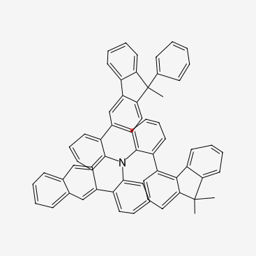 CC1(C)c2ccccc2-c2c(-c3ccccc3N(c3ccccc3-c3ccc4c(c3)-c3ccccc3C4(C)c3ccccc3)c3ccccc3-c3ccc4ccccc4c3)cccc21